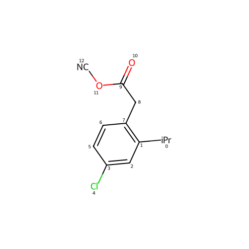 CC(C)c1cc(Cl)ccc1CC(=O)OC#N